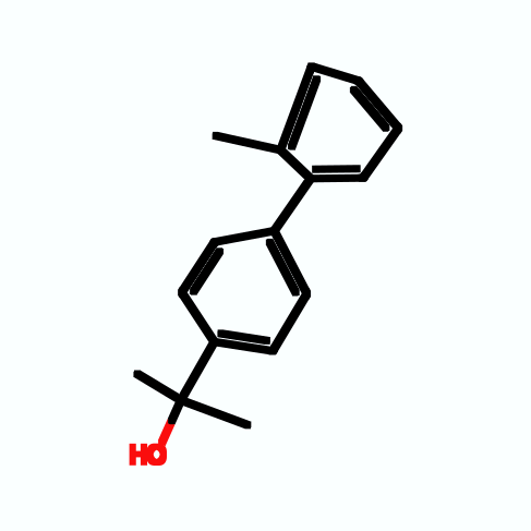 Cc1ccccc1-c1ccc(C(C)(C)O)cc1